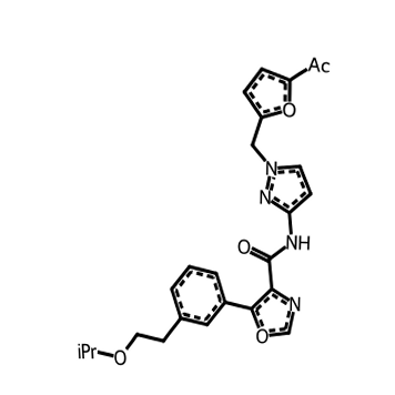 CC(=O)c1ccc(Cn2ccc(NC(=O)c3ncoc3-c3cccc(CCOC(C)C)c3)n2)o1